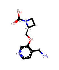 NCc1ccncc1OC[C@@H]1CCN1C(=O)O